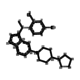 CC(c1ccc(Cl)cc1Cl)n1cnc2ccc(N3CCC(N4CCCC4)CC3)cc21